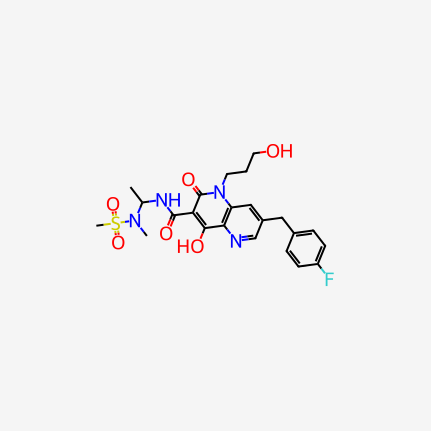 CC(NC(=O)c1c(O)c2ncc(Cc3ccc(F)cc3)cc2n(CCCO)c1=O)N(C)S(C)(=O)=O